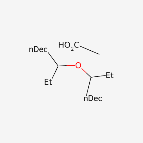 CC(=O)O.CCCCCCCCCCC(CC)OC(CC)CCCCCCCCCC